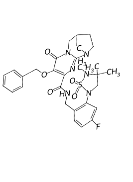 CN1C(C)(C)CN(c2cc(F)ccc2CNC(=O)c2nc3n(c(=O)c2OCc2ccccc2)CC2CCN3CC2)S1(=O)=O